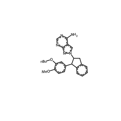 CCCCOc1cc(C2c3ccccc3CC2n2cc3c(N)ncnc3n2)ccc1OC